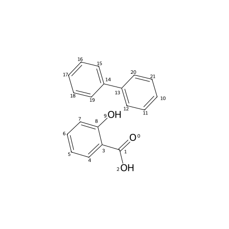 O=C(O)c1ccccc1O.c1ccc(-c2ccccc2)cc1